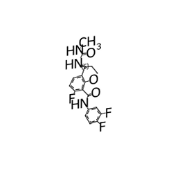 CNC(=O)N[C@H]1CCOc2c1ccc(F)c2C(=O)Nc1ccc(F)c(F)c1